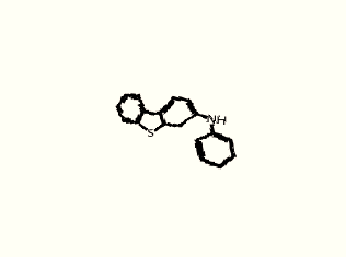 C1=CC(NC2=CC=C3c4ccccc4SC3C2)=CCC1